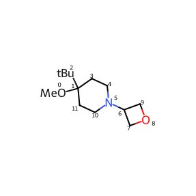 COC1(C(C)(C)C)CCN(C2COC2)CC1